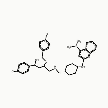 CN(C)c1nc(N[C@H]2CC[C@@H](CNCC(CC(O)c3ccc(Cl)cc3)SCc3ccc(Cl)cc3)CC2)nc2ccccc12